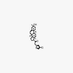 C[C@@]1(O)CC[C@H]2C(=CC[C@@H]3[C@@H]2CC[C@]2(C)[C@@H](C(=O)Cn4cc(Cl)cn4)CC[C@@H]32)C1